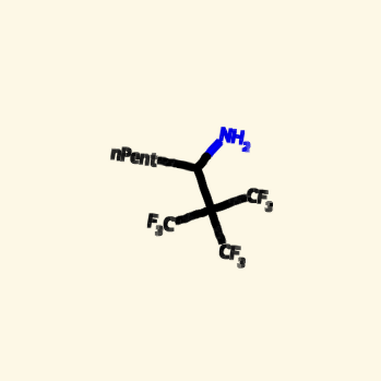 CCCCCC(N)C(C(F)(F)F)(C(F)(F)F)C(F)(F)F